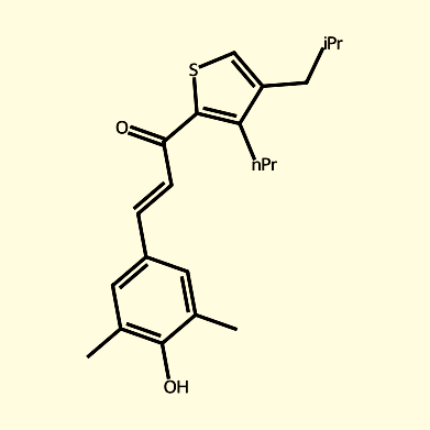 CCCc1c(CC(C)C)csc1C(=O)C=Cc1cc(C)c(O)c(C)c1